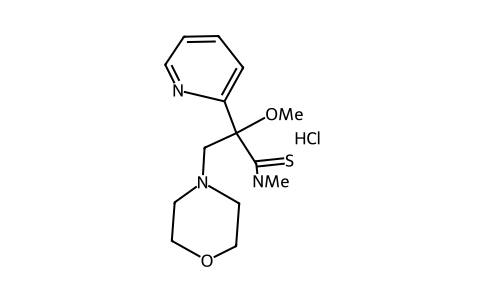 CNC(=S)C(CN1CCOCC1)(OC)c1ccccn1.Cl